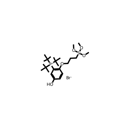 CO[Si](CCCOc1ccc(O)cc1[P+](C(C)(C)C)(C(C)(C)C)C(C)(C)C)(OC)OC.[Br-]